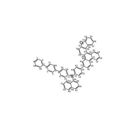 c1ccc(-c2ccc(-c3ccc(N(c4ccc(-c5ccc6c7ccccc7c7c(ccc8oc9ccccc9c87)c6c5)cc4)c4cccc5ccccc45)cc3)cc2)cc1